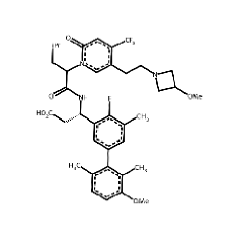 COc1ccc(C)c(-c2cc(C)c(F)c([C@H](CC(=O)O)NC(=O)C(CC(C)C)n3cc(CCN4CC(OC)C4)c(C(F)(F)F)cc3=O)c2)c1C